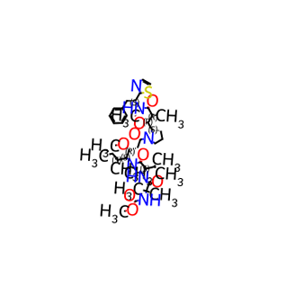 CC[C@H](C)[C@@H]([C@@H](CC(=O)N1CCC[C@H]1[C@H](OC)[C@@H](C)C(=O)N[C@@H](Cc1ccccc1)c1nccs1)OC)N(C)C(=O)[C@@H](NC(=O)C(C)(C)NC(=O)OC)C(C)C